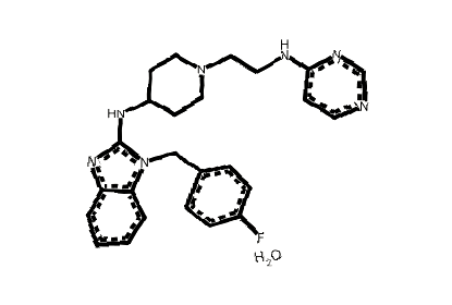 Fc1ccc(Cn2c(NC3CCN(CCNc4ccncn4)CC3)nc3ccccc32)cc1.O